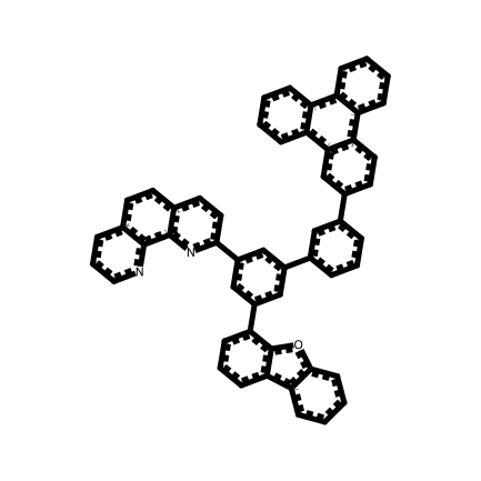 c1cc(-c2cc(-c3ccc4ccc5cccnc5c4n3)cc(-c3cccc4c3oc3ccccc34)c2)cc(-c2ccc3c4ccccc4c4ccccc4c3c2)c1